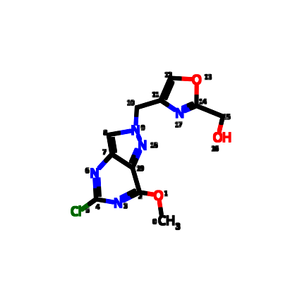 COc1nc(Cl)nc2cn(Cc3coc(CO)n3)nc12